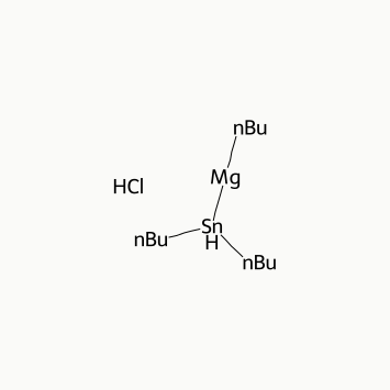 CCC[CH2][Mg][SnH]([CH2]CCC)[CH2]CCC.Cl